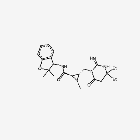 CCC1(CC)CC(=O)N(C[C@@H]2C(C)[C@H]2C(=O)NC2c3ccccc3OC2(C)C)C(=N)N1